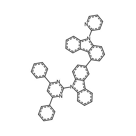 c1ccc(-c2cc(-c3ccccc3)nc(-n3c4ccccc4c4cc(-c5cccc6c5c5ccccc5n6-c5ccccn5)ccc43)n2)cc1